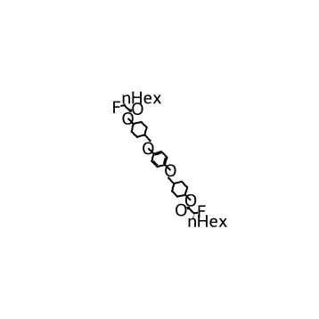 CCCCCC[C@@H](F)C(=O)OC1CCC(COc2ccc(OCC3CCC(OC(=O)[C@H](F)CCCCCC)CC3)cc2)CC1